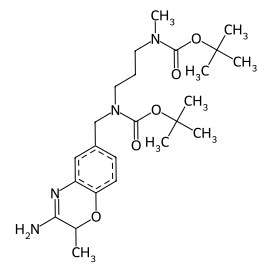 CC1Oc2ccc(CN(CCCN(C)C(=O)OC(C)(C)C)C(=O)OC(C)(C)C)cc2N=C1N